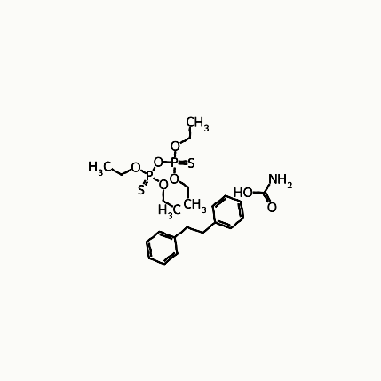 CCOP(=S)(OCC)OP(=S)(OCC)OCC.NC(=O)O.c1ccc(CCc2ccccc2)cc1